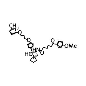 COc1ccc(C(=O)CCCCC(=O)N[C@H](CN2CCCC2)[C@H](O)c2ccc(OCCCOc3cccc(C)c3)cc2)cc1